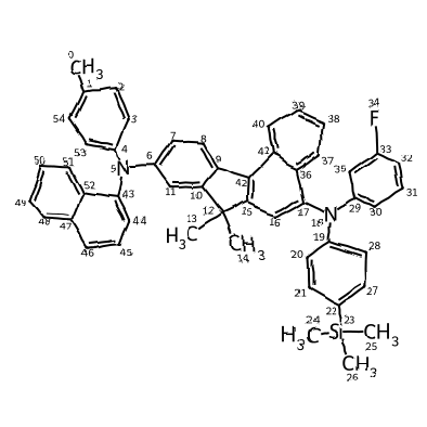 Cc1ccc(N(c2ccc3c(c2)C(C)(C)c2cc(N(c4ccc([Si](C)(C)C)cc4)c4cccc(F)c4)c4ccccc4c2-3)c2cccc3ccccc23)cc1